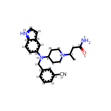 CC(CC(N)=O)N1CCC(N(Cc2cccc(C#N)c2)c2ccc3[nH]ccc3c2)CC1